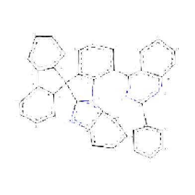 c1ccc(-c2nc(-c3cccc4c3-n3c(nc5ccccc53)C43c4ccccc4-c4ccccc43)c3ccccc3n2)cc1